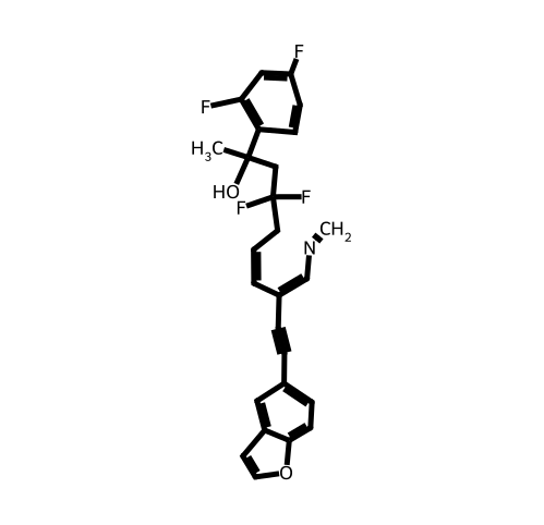 C=N/C=C(C#Cc1ccc2occc2c1)\C=C/CC(F)(F)CC(C)(O)c1ccc(F)cc1F